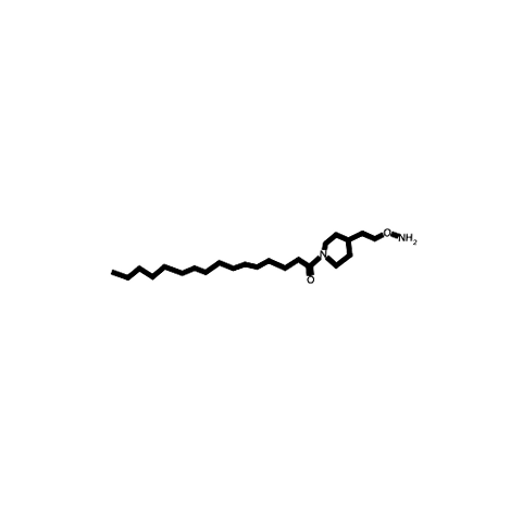 CCCCCCCCCCCCCCCC(=O)N1CCC(CCON)CC1